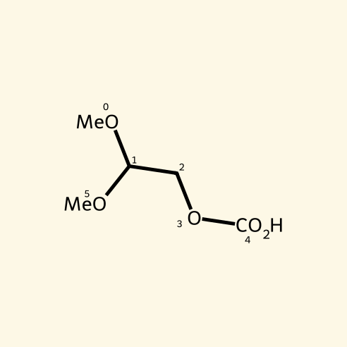 COC(COC(=O)O)OC